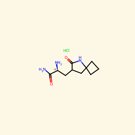 Cl.NC(=O)[C@@H](N)CC1CC2(CCC2)NC1=O